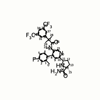 Cc1cc(F)ccc1-c1cc(C2CC[C@@](C)(C(N)=O)N2)ncc1N(C)C(=O)C(C)(C)c1cc(C(F)(F)F)cc(C(F)(F)F)c1